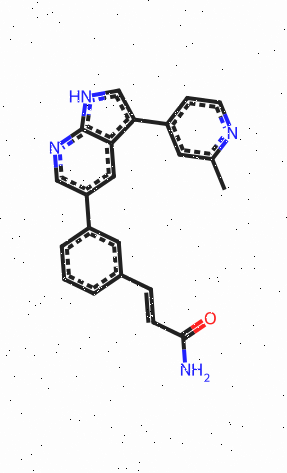 Cc1cc(-c2c[nH]c3ncc(-c4cccc(C=CC(N)=O)c4)cc23)ccn1